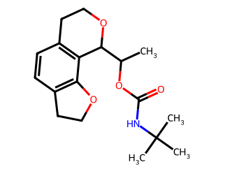 CC(OC(=O)NC(C)(C)C)C1OCCc2ccc3c(c21)OCC3